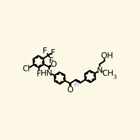 CN(CCO)c1ccc(/C=C/C(=O)c2ccc(NC(=O)c3c(C(F)(F)F)ccc(Cl)c3F)cc2)cc1